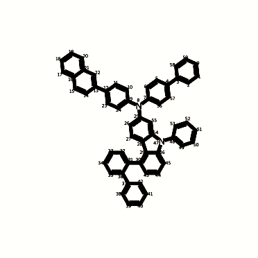 c1ccc(-c2ccc(N(c3ccc(-c4ccc5ccccc5c4)cc3)c3ccc4c5c(-c6ccccc6-c6ccccc6)cccc5n(-c5ccccc5)c4c3)cc2)cc1